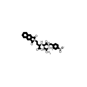 CC(C)C[C@@H](NC(CCN1C(=O)c2cc3ccccc3cc2C1=O)C(=O)O)C(=O)NCc1ccc([N+](=O)[O-])cc1